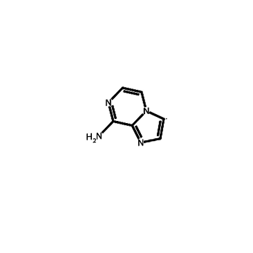 Nc1nccn2[c]cnc12